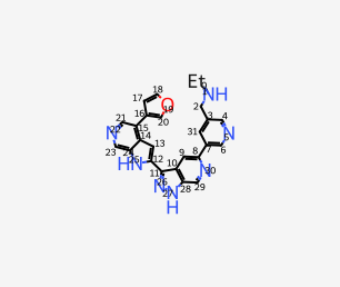 CCNCc1cncc(-c2cc3c(-c4cc5c(-c6ccoc6)cncc5[nH]4)n[nH]c3cn2)c1